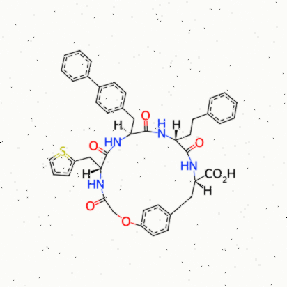 O=C1COc2ccc(cc2)C[C@@H](C(=O)O)NC(=O)[C@@H](CCc2ccccc2)NC(=O)[C@H](Cc2ccc(-c3ccccc3)cc2)NC(=O)[C@@H](Cc2cccs2)N1